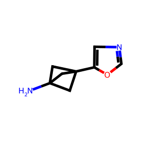 NC12CC(c3cnco3)(C1)C2